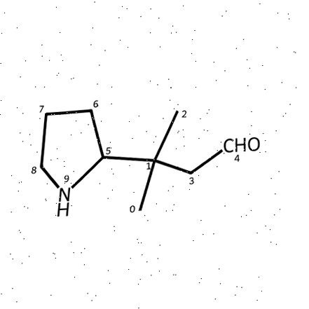 CC(C)(CC=O)C1CCCN1